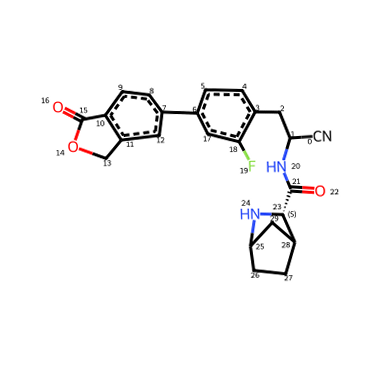 N#CC(Cc1ccc(-c2ccc3c(c2)COC3=O)cc1F)NC(=O)[C@H]1NC2CCC1C2